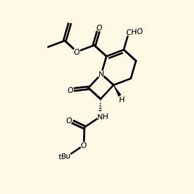 C=C(C)OC(=O)C1=C(C=O)CC[C@@H]2[C@H](NC(=O)OC(C)(C)C)C(=O)N12